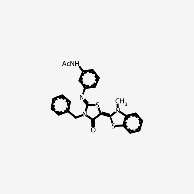 CC(=O)Nc1cccc(N=C2SC(=C3Sc4ccccc4N3C)C(=O)N2Cc2ccccc2)c1